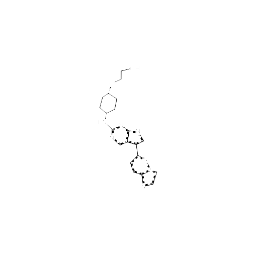 OCCO[C@H]1CC[C@@H](Nc2ncc3c(-c4ccc5nccn5n4)c[nH]c3n2)CC1